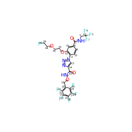 O=C(NCC(F)(F)F)c1ccc(-n2cc(C(=O)NOCc3c(F)c(F)c(F)c(F)c3F)nn2)c(OCCOCCF)c1